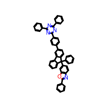 c1ccc(-c2nc(-c3ccccc3)nc(-c3ccc(-c4ccc5c(c4)-c4ccccc4C5(c4ccccc4)c4ccc5nc(-c6ccccc6)oc5c4)cc3)n2)cc1